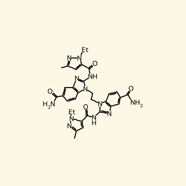 CCn1nc(C)cc1C(=O)Nc1nc2cc(C(N)=O)ccc2n1CCn1c(NC(=O)c2cc(C)nn2CC)nc2cc(C(N)=O)ccc21